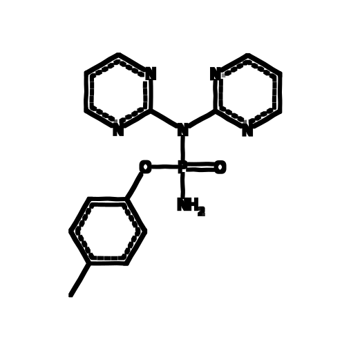 Cc1ccc(OP(N)(=O)N(c2ncccn2)c2ncccn2)cc1